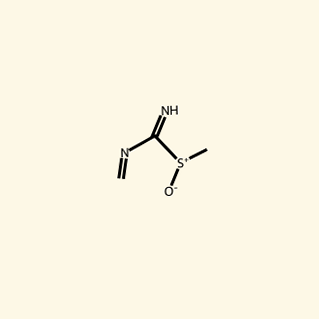 C=NC(=N)[S+](C)[O-]